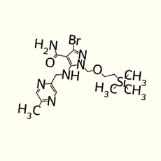 Cc1cnc(CNc2c(C(N)=O)c(Br)nn2COCC[Si](C)(C)C)cn1